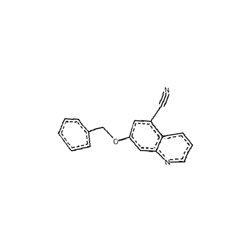 N#Cc1cc(OCc2ccccc2)cc2ncccc12